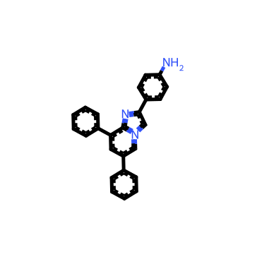 Nc1ccc(-c2cn3cc(-c4ccccc4)cc(-c4ccccc4)c3n2)cc1